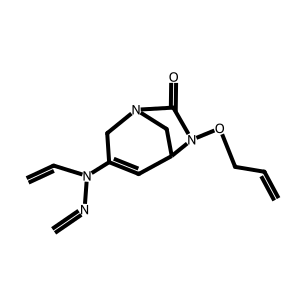 C=CCON1C(=O)N2CC(N(C=C)N=C)=CC1C2